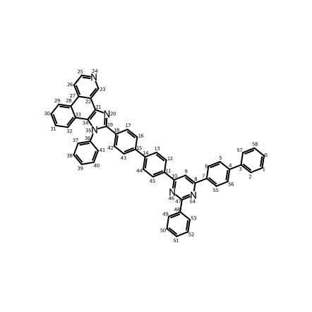 c1ccc(-c2ccc(-c3cc(-c4ccc(-c5ccc(-c6nc7c8cnccc8c8ccccc8c7n6-c6ccccc6)cc5)cc4)nc(-c4ccccc4)n3)cc2)cc1